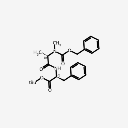 C[C@@H](C(=O)N[C@@H](Cc1ccccc1)C(=O)OC(C)(C)C)N(C)C(=O)OCc1ccccc1